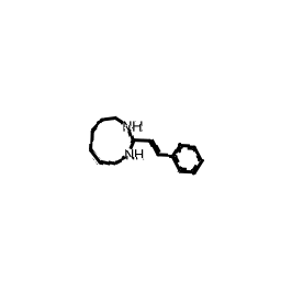 C(=CC1NCCCCCCN1)c1ccccc1